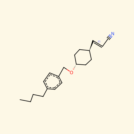 CCCCc1ccc(CO[C@H]2CC[C@H](/C=C/C#N)CC2)cc1